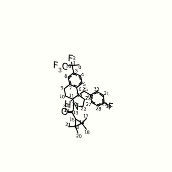 CC(F)(c1ccc2c(c1)CC[C@H]1N(C(=O)C3C(C)(C)C3(C)C)CC[C@@]21Cc1ccc(F)cc1)C(F)(F)F